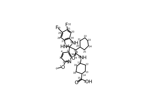 COc1ccc(C2(C(C(=O)NC3CCC(C(=O)O)CC3)C3CCCCC3)Nc3cc(F)c(F)cc3N2)cn1